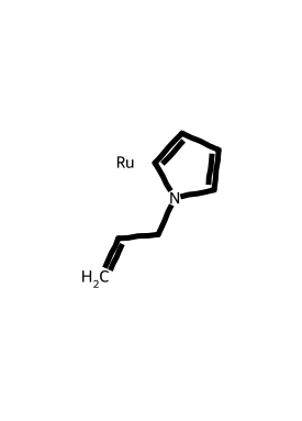 C=CCn1cccc1.[Ru]